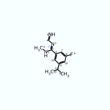 CN/C(=N\C=N)c1cc(F)cc(C(C)C)c1